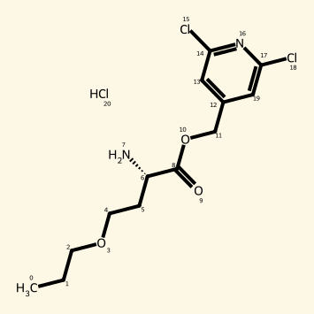 CCCOCC[C@H](N)C(=O)OCc1cc(Cl)nc(Cl)c1.Cl